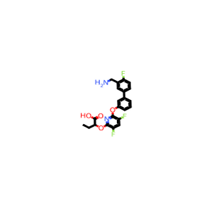 CCC(Oc1nc(Oc2cccc(-c3ccc(F)c(CN)c3)c2)c(F)cc1F)C(=O)O